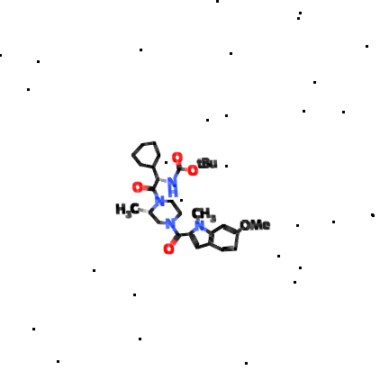 COc1ccc2cc(C(=O)N3CCN(C(=O)[C@@H](NC(=O)OC(C)(C)C)C4CCCCC4)[C@@H](C)C3)n(C)c2c1